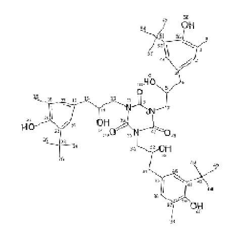 Cc1cc(CC(O)Cn2c(=O)n(CC(O)Cc3cc(C)c(O)c(C(C)(C)C)c3)c(=O)n(CC(O)Cc3cc(C)c(O)c(C(C)(C)C)c3)c2=O)cc(C(C)(C)C)c1O